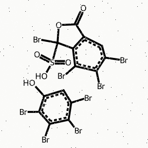 O=C1OC(Br)(S(=O)(=O)O)c2c1cc(Br)c(Br)c2Br.Oc1cc(Br)c(Br)c(Br)c1Br